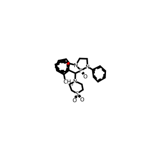 Cc1ccccc1C(N1CCS(=O)(=O)CC1)P1(=O)N(c2ccccc2)CCN1c1ccccc1